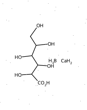 B.O=C(O)C(O)C(O)C(O)C(O)CO.[CaH2]